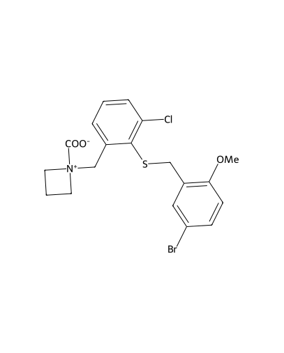 COc1ccc(Br)cc1CSc1c(Cl)cccc1C[N+]1(C(=O)[O-])CCC1